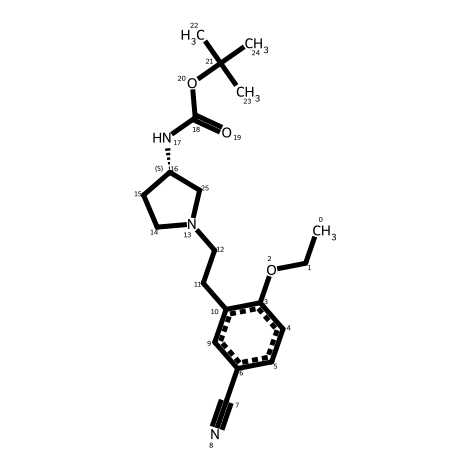 CCOc1ccc(C#N)cc1CCN1CC[C@H](NC(=O)OC(C)(C)C)C1